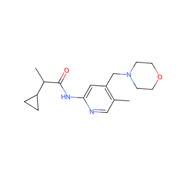 Cc1cnc(NC(=O)C(C)C2CC2)cc1CN1CCOCC1